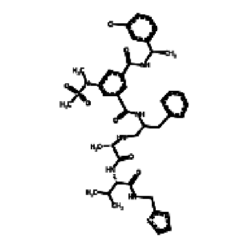 CC(C)[C@H](NC(=O)[C@H](C)NC[C@H](Cc1ccccc1)NC(=O)c1cc(C(=O)N[C@H](C)c2cccc(Cl)c2)cc(N(C)S(C)(=O)=O)c1)C(=O)NCc1cccs1